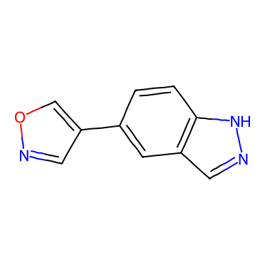 c1cc2[nH]ncc2cc1-c1cnoc1